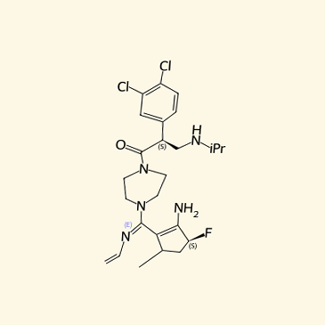 C=C/N=C(\C1=C(N)[C@@H](F)CC1C)N1CCN(C(=O)[C@H](CNC(C)C)c2ccc(Cl)c(Cl)c2)CC1